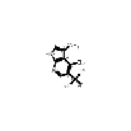 Nc1c[nH]c2ncc(C(F)(F)F)c(Cl)c12